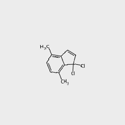 Cc1ccc(C)c2c1C=CC2(Cl)Cl